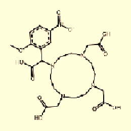 COc1ccc([N+](=O)[O-])cc1C(C(=O)O)N1CCN(CC(=O)O)CCN(CC(=O)O)CCN(CC(=O)O)CC1